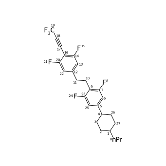 CCCC1CCC(c2cc(F)c(CCc3cc(F)c(C#CC(F)(F)F)c(F)c3)c(F)c2)CC1